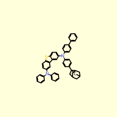 c1ccc(-c2ccc(N(c3ccc(C45CC6CC(CC4C6)C5)cc3)c3ccc4sc5ccc(N(c6ccccc6)c6ccccc6)cc5c4c3)cc2)cc1